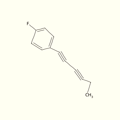 CCC#CC#Cc1ccc(F)cc1